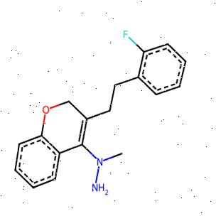 CN(N)C1=C(CCc2ccccc2F)COc2ccccc21